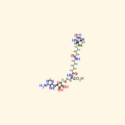 Nc1ncnc2c1ncn2[C@H]1O[C@H](CSCC[C@H](NC(=O)CCCCCNC(=O)CCCC[C@H]2SC[C@H]3NC(=O)N[C@H]32)C(=O)O)[C@@H](O)[C@H]1O